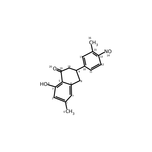 Cc1cc(O)c2c(c1)CC(c1ccc(N=O)c(C)c1)CC2=O